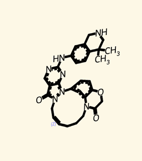 CC1(C)CNCc2cc(Nc3ncc4c(=O)n5n(c4n3)-c3ccc4c(c3)N(CCC/C=C\C5)C(=O)CO4)ccc21